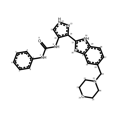 O=C(Nc1ccccc1)Nc1c[nH]nc1-c1nc2cc(CN3CCOCC3)ccc2[nH]1